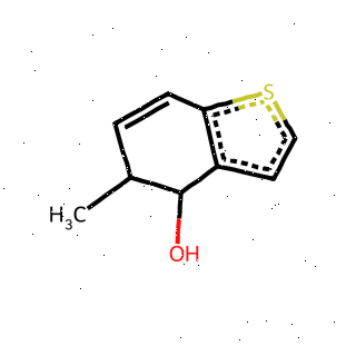 CC1C=Cc2sccc2C1O